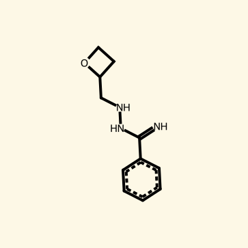 N=C(NNCC1CCO1)c1ccccc1